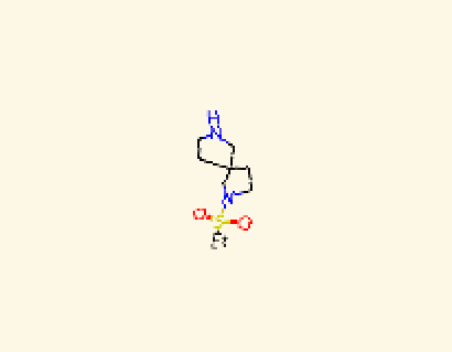 CCS(=O)(=O)N1CCC2(CCNC2)C1